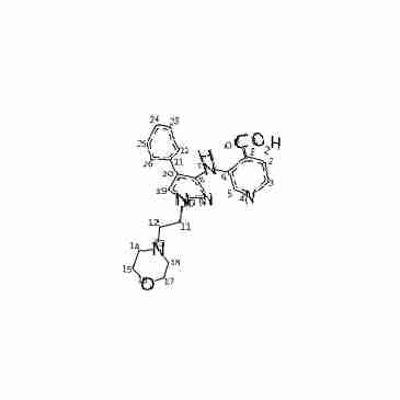 O=C(O)c1ccncc1Nc1nn(CCN2CCOCC2)cc1-c1ccccc1